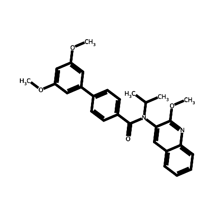 COc1cc(OC)cc(-c2ccc(C(=O)N(c3cc4ccccc4nc3OC)C(C)C)cc2)c1